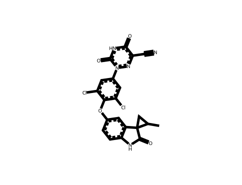 CC1CC12C(=O)Nc1ccc(Oc3c(Cl)cc(-n4nc(C#N)c(=O)[nH]c4=O)cc3Cl)cc12